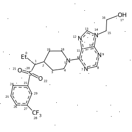 CCC(C1CCN(c2ncnc3c2ncn3CCO)CC1)S(=O)(=O)c1cccc(C(F)(F)F)c1